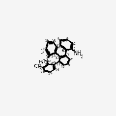 Nc1ccccc1-c1cccc2c1-c1ccccc1Nc1c(Cl)cccc1-2